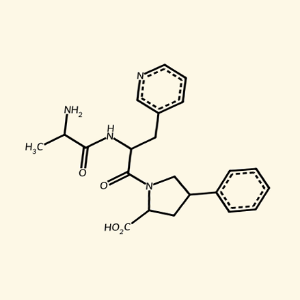 CC(N)C(=O)NC(Cc1cccnc1)C(=O)N1CC(c2ccccc2)CC1C(=O)O